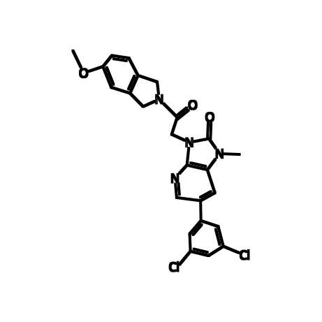 COc1ccc2c(c1)CN(C(=O)Cn1c(=O)n(C)c3cc(-c4cc(Cl)cc(Cl)c4)cnc31)C2